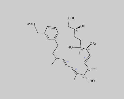 COCc1cccc(CCC(C)/C=C/C=C(\C)[C@@H](C=O)[C@@H](C)/C=C/[C@H](OC(C)=O)[C@@](C)(O)CC[C@H](O)CC=O)c1